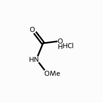 CONC(=O)O.Cl